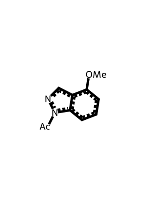 COc1cccc2c1cnn2C(C)=O